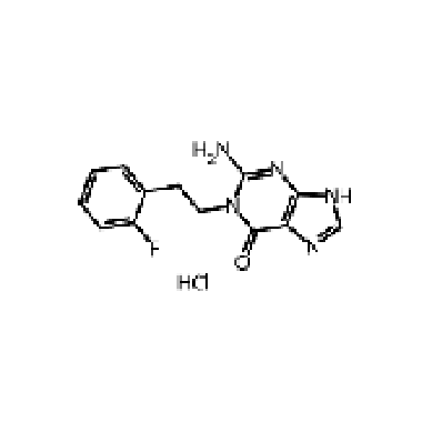 Cl.Nc1nc2[nH]cnc2c(=O)n1CCc1ccccc1F